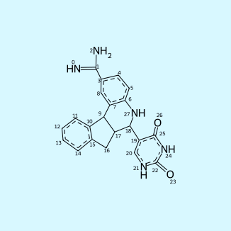 N=C(N)c1ccc2c(c1)C1c3ccccc3CC1C(c1c[nH]c(=O)[nH]c1=O)N2